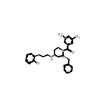 O=C(c1cc(C(F)(F)F)cc(C(F)(F)F)c1)N1CC[C@H](NCCCc2ccccc2Cl)C[C@@H]1Cc1ccccc1